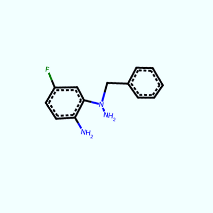 Nc1ccc(F)cc1N(N)Cc1ccccc1